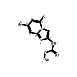 CC(C)(C)OC(=O)Nc1cn2c(Cl)cc(Br)cc2n1